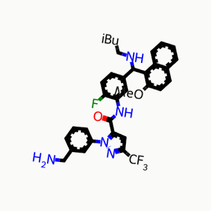 CCC(C)CNC(c1ccc(F)c(NC(=O)c2cc(C(F)(F)F)nn2-c2cccc(CN)c2)c1)c1c(OC)ccc2ccccc12